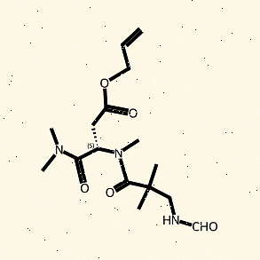 C=CCOC(=O)C[C@@H](C(=O)N(C)C)N(C)C(=O)C(C)(C)CNC=O